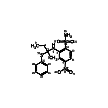 CCC(C)(Nc1cc([N+](=O)[O-])ccc1S(N)(=O)=O)Sc1ccccc1